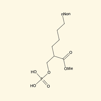 CCCCCCCCCCCCCC(COP(=O)(O)O)C(=O)OC